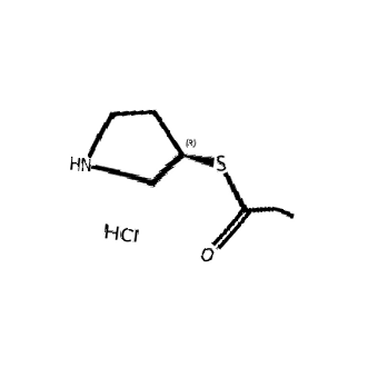 CC(=O)S[C@@H]1CCNC1.Cl